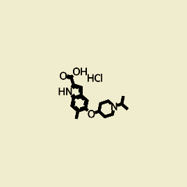 Cc1cc2[nH]c(C(=O)O)cc2cc1OC1CCN(C(C)C)CC1.Cl